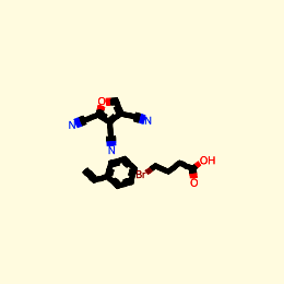 C=Cc1ccccc1.N#Cc1coc(C#N)c1C#N.O=C(O)CCCBr